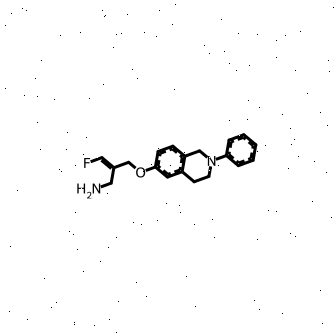 NC/C(=C\F)COc1ccc2c(c1)CCN(c1ccccc1)C2